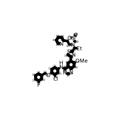 CCC(c1nc(-c2cc3c(Nc4ccc(OCc5cccc(F)c5)c(Cl)c4)ncnc3cc2OC)cs1)N(C=S(=O)=O)CCc1ccccn1